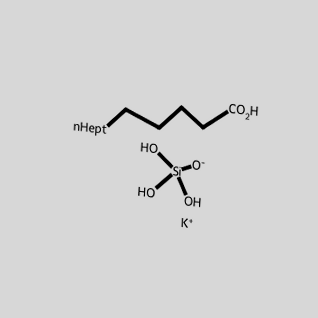 CCCCCCCCCCCC(=O)O.[K+].[O-][Si](O)(O)O